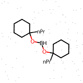 CCCC1(OBOC2(CCC)CCCCC2)CCCCC1